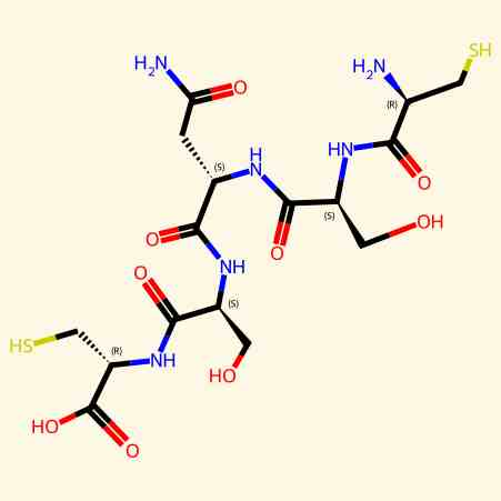 NC(=O)C[C@H](NC(=O)[C@H](CO)NC(=O)[C@@H](N)CS)C(=O)N[C@@H](CO)C(=O)N[C@@H](CS)C(=O)O